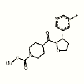 CC(C)(C)OC(=O)N1CCC(C(=O)N2OCC[C@H]2c2cncc(F)c2)CC1